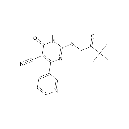 CC(C)(C)C(=O)CSc1nc(-c2cccnc2)c(C#N)c(=O)[nH]1